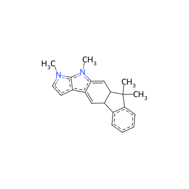 Cn1ccc2c3c(n(C)c21)=CC1C(C=3)c2ccccc2C1(C)C